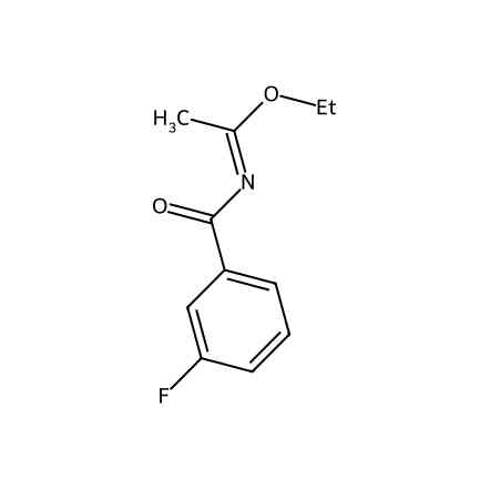 CCO/C(C)=N/C(=O)c1cccc(F)c1